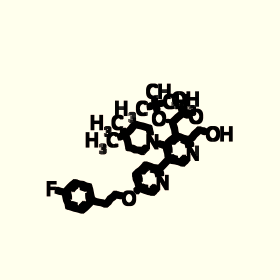 CC1(C)CCN(c2c(-c3ccc(OCCc4ccc(F)cc4)cn3)cnc(CO)c2[C@H](OC(C)(C)C)C(=O)O)CC1